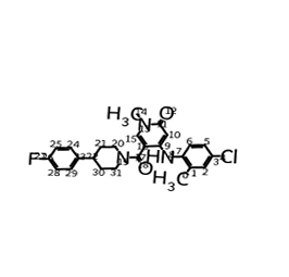 Cc1cc(Cl)ccc1Nc1cc(=O)n(C)cc1C(=O)N1CCC(c2ccc(F)cc2)CC1